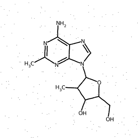 Cc1nc(N)c2ncn(C3OC(CO)C(O)C3C)c2n1